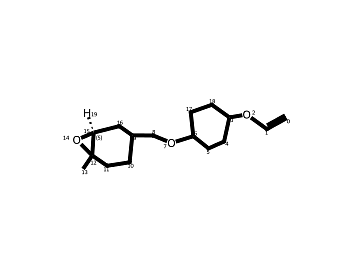 C=COC1CCC(OCC2CCC3(C)O[C@H]3C2)CC1